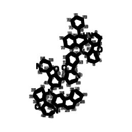 C1=Cc2oc3cccc(N(c4ccc5oc6c(-c7cc(N(c8ccc9ccc%10ccccc%10c9c8)c8cccc9oc%10ccncc%10c89)cc8c7oc7ccncc78)ccnc6c5c4)c4ccc(-c5ccccc5)c5ccccc45)c3c2CN1